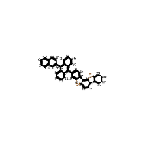 c1ccc2cc(-c3c4ccccc4c(-c4ccc5c(c4)sc4ccc6c7ccccc7sc6c45)c4ccccc34)ccc2c1